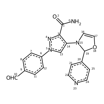 NC(=O)c1nn(-c2ccc(C=O)cc2)cc1N1C=COC1c1ccncc1